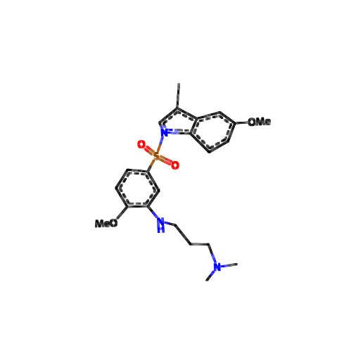 COc1ccc2c(c1)c(C)cn2S(=O)(=O)c1ccc(OC)c(NCCCN(C)C)c1